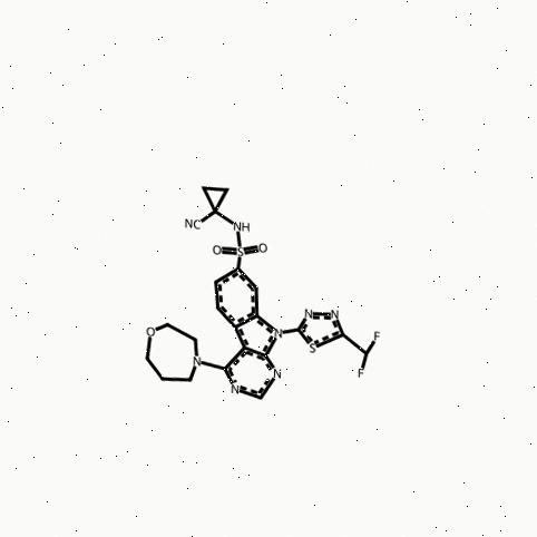 N#CC1(NS(=O)(=O)c2ccc3c4c(N5CCCOCC5)ncnc4n(-c4nnc(C(F)F)s4)c3c2)CC1